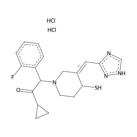 Cl.Cl.O=C(C1CC1)C(c1ccccc1F)N1CCC(S)/C(=C\c2nc[nH]n2)C1